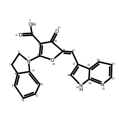 O=C(O)C1=C(N2CCc3ccccc32)O/C(=C\c2c[nH]c3ncccc23)C1=O